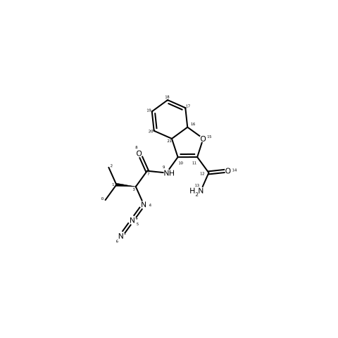 CC(C)[C@H](N=[N+]=[N-])C(=O)NC1=C(C(N)=O)OC2C=CC=CC12